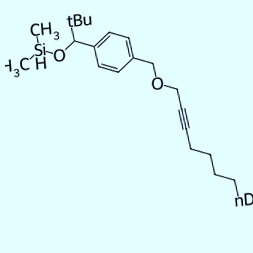 CCCCCCCCCCCCCCC#CCOCc1ccc(C(O[SiH](C)C)C(C)(C)C)cc1